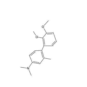 COc1cc[c]c(-c2ccc(N(C)C)cc2C)c1OC